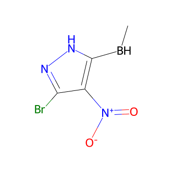 CBc1[nH]nc(Br)c1[N+](=O)[O-]